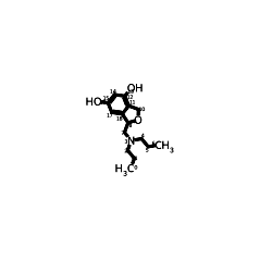 CCCN(CCC)CC1OCc2c(O)cc(O)cc21